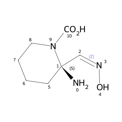 N[C@@]1(/C=N\O)CCCCN1C(=O)O